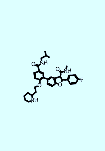 CNC(=O)C1c2cc(-c3cc(C(=O)NCC(C)C)ccc3OCCC3CCCCN3)ccc2OC1c1ccc(F)cc1